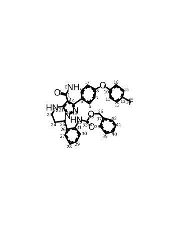 NC(=O)c1c(-c2ccc(Oc3ccc(F)cc3)cc2)nn2c1NCCC2c1ccccc1NC(=O)OCc1ccccc1